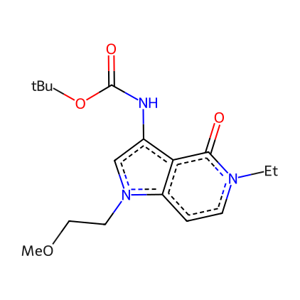 CCn1ccc2c(c(NC(=O)OC(C)(C)C)cn2CCOC)c1=O